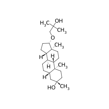 CC(C)(O)CO[C@H]1CC[C@H]2[C@@H]3CC[C@H]4C[C@@](C)(O)CC[C@]4(C)[C@H]3CC[C@]12C